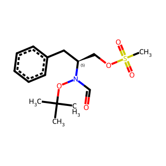 CC(C)(C)ON(C=O)[C@H](COS(C)(=O)=O)Cc1ccccc1